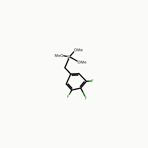 CO[Si](Cc1cc(F)c(F)c(F)c1)(OC)OC